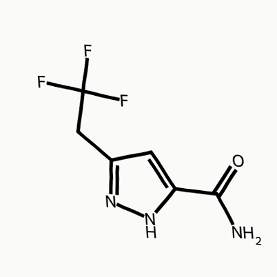 NC(=O)c1cc(CC(F)(F)F)n[nH]1